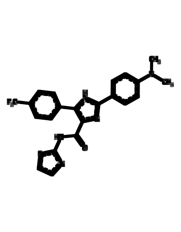 CN(C)c1ccc(-c2nc(C(=O)Nc3nccs3)c(-c3ccc(C(F)(F)F)cc3)[nH]2)cc1